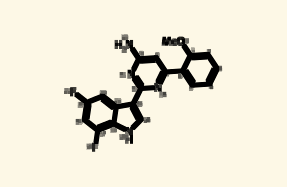 COc1ccccc1-c1cc(N)nc(-c2c[nH]c3c(F)cc(F)cc23)n1